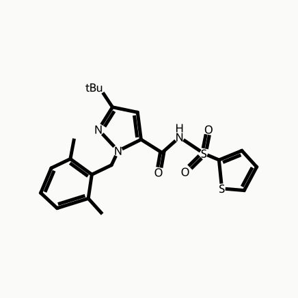 Cc1cccc(C)c1Cn1nc(C(C)(C)C)cc1C(=O)NS(=O)(=O)c1cccs1